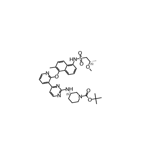 CO[C@@H](C)CS(=O)(=O)Nc1cccc2c(Oc3ncccc3-c3ccnc(N[C@H]4CCCN(C(=O)OC(C)(C)C)C4)n3)c(C)ccc12